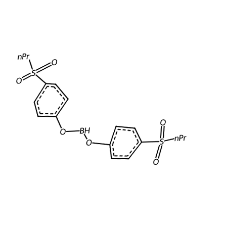 CCCS(=O)(=O)c1ccc(OBOc2ccc(S(=O)(=O)CCC)cc2)cc1